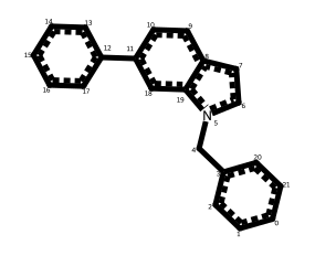 c1ccc(Cn2ccc3ccc(-c4ccccc4)cc32)cc1